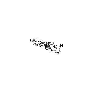 N#Cc1cccc(C#N)c1OC1C=CC(S(=O)(=O)NCc2cc3cc(Cl)ccc3s2)=CC1